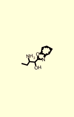 CCC(N)C(O)c1nc2ccccc2o1